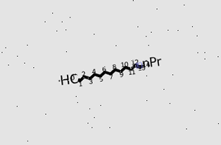 [CH]=CCCCCCCCCCC/C=C/CCC